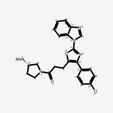 CN[C@H]1CCN(C(=O)CCc2oc(-n3cnc4ccccc43)nc2-c2ccc(Cl)cc2)C1